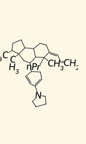 C=C/C=C1/CCC2C(C(C3C=CC(N4CCCC4)=CC3)CC3(C)C(C)CCC23)C1(C)CCC